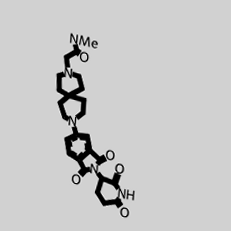 CNC(=O)CN1CCC2(CC1)CCN(c1ccc3c(c1)C(=O)N(C1CCC(=O)NC1=O)C3=O)CC2